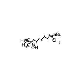 CCCC/C(C)=C/CCCCCCC(C)(OO)OO